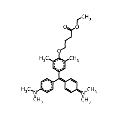 CCOC(=O)CCCOc1c(C)cc(C(=C2C=CC(=[N+](C)C)C=C2)c2ccc(N(C)C)cc2)cc1C